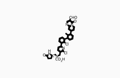 Cc1c(-c2ccn3c(=O)c(C=O)cnc3c2)cccc1-c1cccc(-c2ccc(CN(C[C@@H]3CCC(=O)N3)C(=O)O)c(Cl)n2)c1Cl